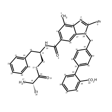 CCCc1nc2c(C)cc(C(=O)N[C@@H](CSC(=O)[C@@H](N)CC)Cc3ccccc3)cc2n1Cc1ccc(-c2ccccc2C(=O)O)cc1